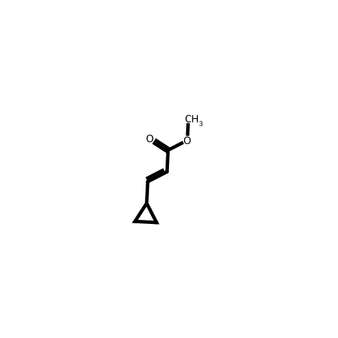 COC(=O)/C=C/C1CC1